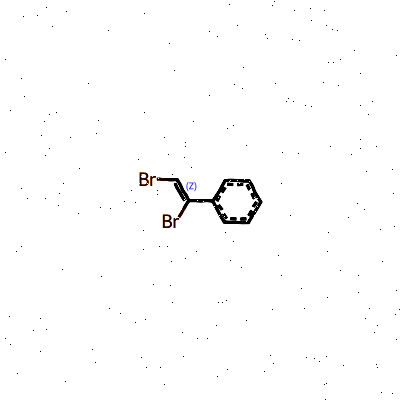 Br/C=C(\Br)c1ccccc1